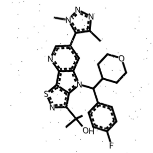 Cc1nnn(C)c1-c1cnc2c3snc(C(C)(C)O)c3n(C(c3ccc(F)cc3)C3CCOCC3)c2c1